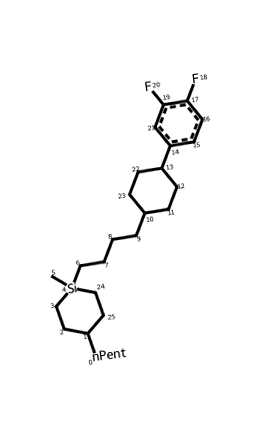 CCCCCC1CC[Si](C)(CCCCC2CCC(c3ccc(F)c(F)c3)CC2)CC1